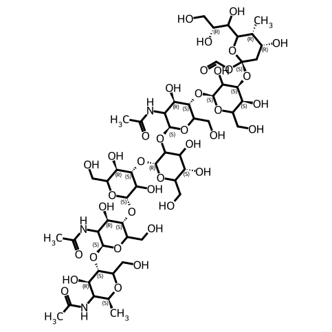 CC(=O)NC1[C@H](O[C@@H]2C(CO)O[C@@H](C)C(NC(C)=O)[C@H]2O)OC(CO)[C@@H](O[C@@H]2OC(CO)[C@@H](O)[C@H](O[C@H]3OC(CO)[C@@H](O)C(O)C3O[C@@H]3OC(CO)[C@@H](O[C@@H]4OC(CO)[C@H](O)[C@H](O[C@]5(OC=O)C[C@@H](O)[C@@H](C)C(C(O)[C@H](O)CO)O5)C4O)[C@H](O)C3NC(C)=O)C2O)[C@@H]1O